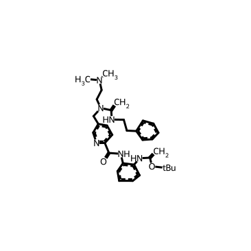 C=C(Nc1ccccc1NC(=O)c1ccc(CN(CCN(C)C)C(=C)NCCc2ccccc2)cn1)OC(C)(C)C